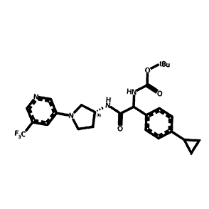 CC(C)(C)OC(=O)NC(C(=O)N[C@@H]1CCN(c2cncc(C(F)(F)F)c2)C1)c1ccc(C2CC2)cc1